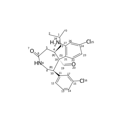 CC(C)C[C@@H]1CC(=O)NC[C@H](c2cccc(Cl)c2)[C@]1(C=O)c1ccc(Cl)cc1N